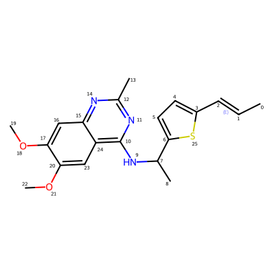 C/C=C/c1ccc(C(C)Nc2nc(C)nc3cc(OC)c(OC)cc23)s1